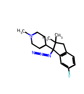 CN1CCC(C2(N=[N+]=[N-])c3cc(F)ccc3CC2(C)C)CC1